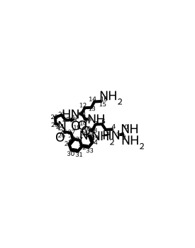 N=C(N)NCCCC(NC(=O)C(CCCCN)NC(=O)C1CCCN1C(=O)Cc1cccc2cccnc12)C(N)=O